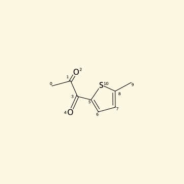 CC(=O)C(=O)c1ccc(C)s1